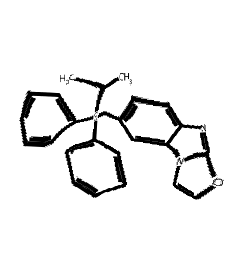 CC(C)S(c1ccccc1)(c1ccccc1)c1ccc2nc3occn3c2c1